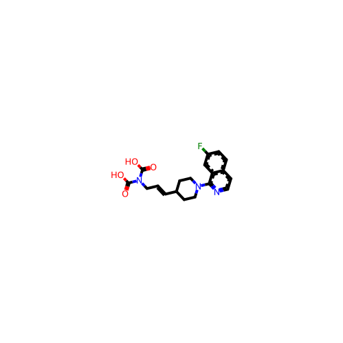 O=C(O)N(CC=CC1CCN(c2nccc3ccc(F)cc23)CC1)C(=O)O